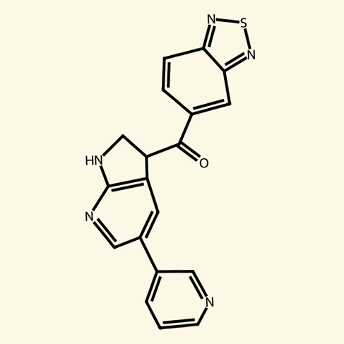 O=C(c1ccc2nsnc2c1)C1CNc2ncc(-c3cccnc3)cc21